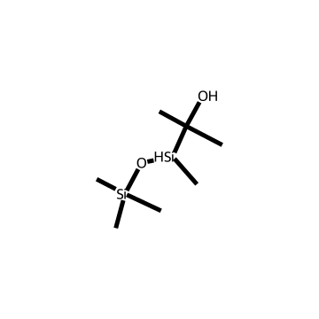 C[SiH](O[Si](C)(C)C)C(C)(C)O